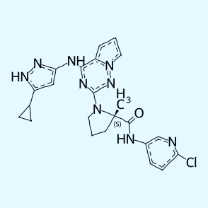 C[C@@]1(C(=O)Nc2ccc(Cl)nc2)CCCN1c1nc(Nc2cc(C3CC3)[nH]n2)c2cccn2n1